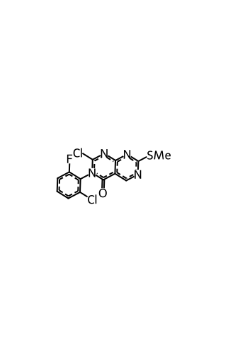 CSc1ncc2c(=O)n(-c3c(F)cccc3Cl)c(Cl)nc2n1